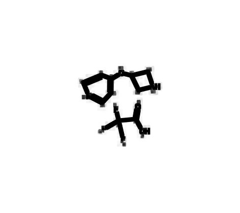 O=C(O)C(F)(F)F.c1cc(OC2CNC2)ccn1